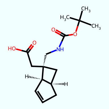 CC(C)(C)OC(=O)NC[C@]1(CC(=O)O)C[C@H]2CC=C[C@H]21